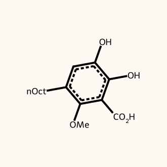 CCCCCCCCc1cc(O)c(O)c(C(=O)O)c1OC